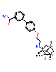 C=C1[C@@H]2C[C@@H](NCCOc3ccc(-c4cccc(C(N)=O)c4)cc3)[C@H](C)[C@H]1C2